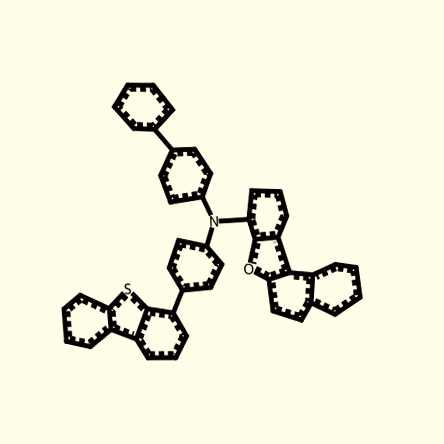 c1ccc(-c2ccc(N(c3ccc(-c4cccc5c4sc4ccccc45)cc3)c3cccc4c3oc3ccc5ccccc5c34)cc2)cc1